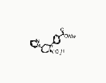 COC(=O)c1ccc([C@@H]2CC(n3cccn3)CCN2C(=O)O)cc1